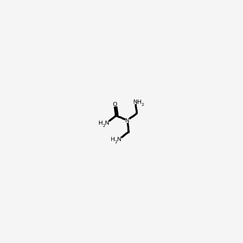 NCN(CN)C(N)=O